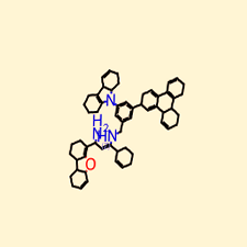 NC(/C=C(\NCc1cc(C2C=C3C(=CC2)C2=C(CCC=C2)C2CCC=CC32)cc(N2C3=C(CCCC3)C3C=CCCC32)c1)C1C=CCCC1)C1=C2OC3C=CCCC3C2CCC1